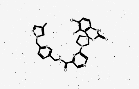 Cc1cnn(Cc2ccc(CNC(=O)c3cncc(N4CC[C@]5(C4)OC(=O)Nc4ccc(Cl)c(F)c45)n3)cn2)c1